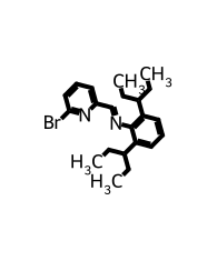 CCC(CC)c1cccc(C(CC)CC)c1N=Cc1cccc(Br)n1